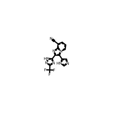 N#Cc1cccn2c(-c3cnc[nH]3)c(-c3nc(C(F)(F)F)n[nH]3)nc12